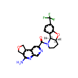 Nc1nc2cnc(C(=O)N3CCC[C@@H]4Oc5cc(C(F)(F)F)ccc5[C@@H]43)cc2c2c1COC2